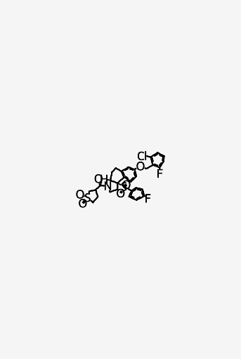 O=C(C1CCS(=O)(=O)C1)N1CC[C@@]2(S(=O)(=O)c3ccc(F)cc3)c3ccc(OCc4c(F)cccc4Cl)cc3CC[C@@H]12